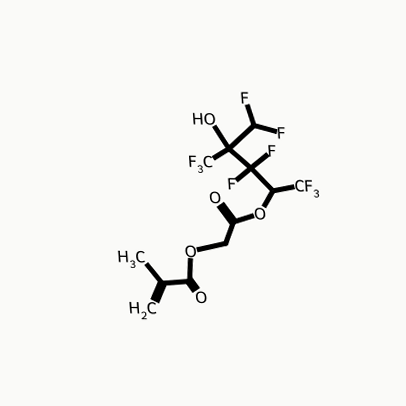 C=C(C)C(=O)OCC(=O)OC(C(F)(F)F)C(F)(F)C(O)(C(F)F)C(F)(F)F